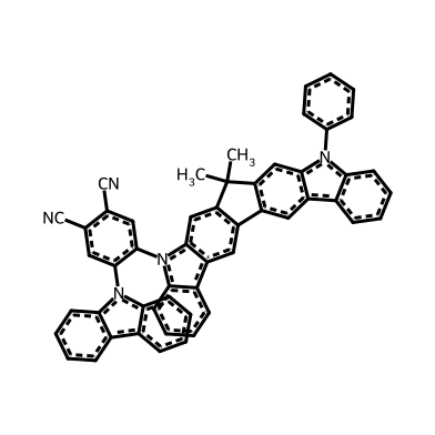 CC1(C)c2cc3c(cc2-c2cc4c5ccccc5n(-c5cc(C#N)c(C#N)cc5-n5c6ccccc6c6ccccc65)c4cc21)c1ccccc1n3-c1ccccc1